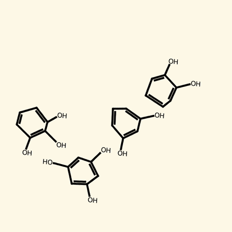 Oc1cc(O)cc(O)c1.Oc1cccc(O)c1.Oc1cccc(O)c1O.Oc1ccccc1O